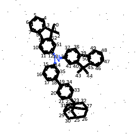 CC1(C)c2ccccc2-c2ccc(N(c3cccc(-c4ccc(C56CC7CC(CC(C7)C5)C6)cc4)c3)c3ccc4c(c3)C(C)(C)c3ccccc3-4)cc21